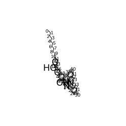 CCCCCCCCCCCCOCC(O)COc1ccc(N2CN=C(c3ccc(C)cc3C)N=C2c2ccc(C)cc2C)c(O)c1